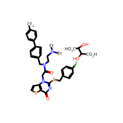 CCN(CC)CCN(Cc1ccc(-c2ccc(C(F)(F)F)cc2)cc1)C(=O)Cn1c(SCc2ccc(F)cc2)nc(=O)c2sccc21.O=C(O)C(O)C(O)C(=O)O